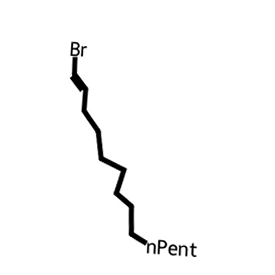 CCCCCCCCCCCCC=CBr